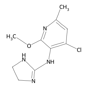 COc1nc(C)cc(Cl)c1NC1=NCCN1